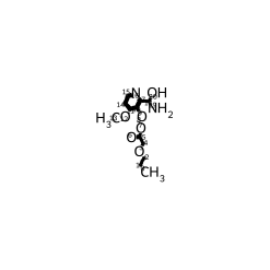 CCCOCC(=O)OCOc1c(OC)ccnc1C(N)O